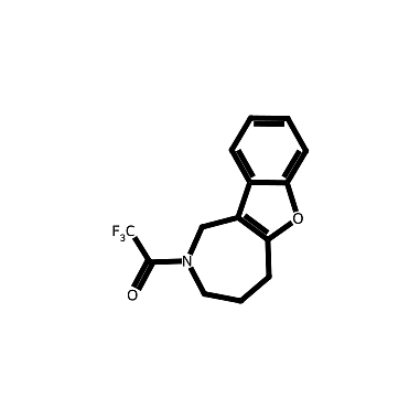 O=C(N1CCCc2oc3ccccc3c2C1)C(F)(F)F